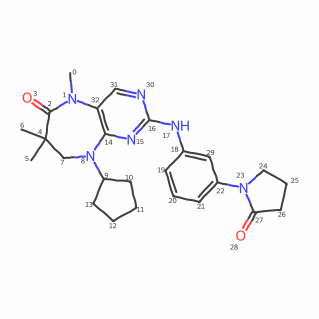 CN1C(=O)C(C)(C)CN(C2CCCC2)c2nc(Nc3cccc(N4CCCC4=O)c3)ncc21